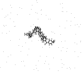 CC(c1ccc(F)cc1)c1cnc(N2CCN(c3ncnn4cc(C5=CN(C)NC5)cc34)CC2)nc1